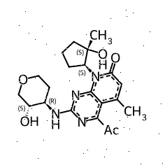 CC(=O)c1nc(N[C@@H]2CCOC[C@H]2O)nc2c1c(C)cc(=O)n2[C@H]1CCC[C@]1(C)O